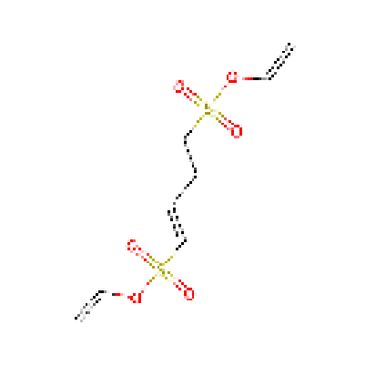 C=COS(=O)(=O)C=CCCS(=O)(=O)OC=C